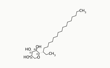 CCCCCCCCCCCCCCCCC(CC)[C@@H]1OC[C@@H](O)[C@H](O)[C@H]1O